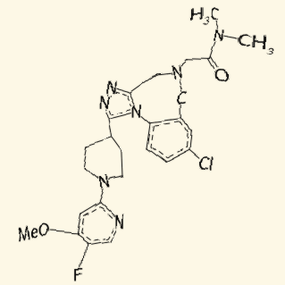 COc1cc(N2CCC(c3nnc4n3-c3ccc(Cl)cc3CN(CC(=O)N(C)C)C4)CC2)ncc1F